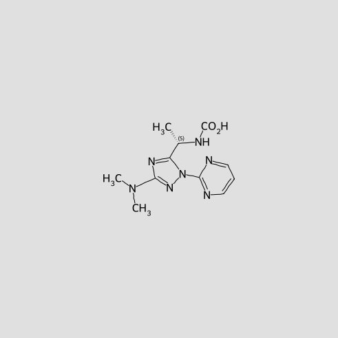 C[C@H](NC(=O)O)c1nc(N(C)C)nn1-c1ncccn1